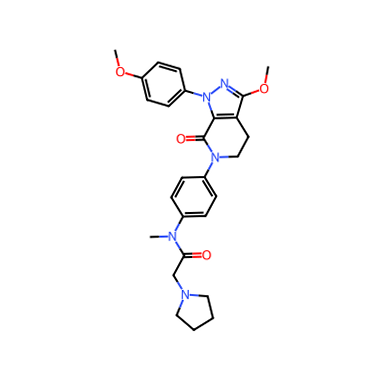 COc1ccc(-n2nc(OC)c3c2C(=O)N(c2ccc(N(C)C(=O)CN4CCCC4)cc2)CC3)cc1